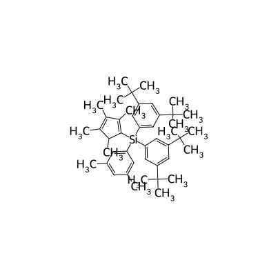 CC1=C(C)C(C)C([Si](c2cc(C)cc(C)c2)(c2cc(C(C)(C)C)cc(C(C)(C)C)c2)c2cc(C(C)(C)C)cc(C(C)(C)C)c2)=C1C